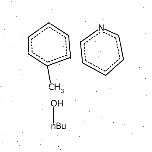 CCCCO.Cc1ccccc1.c1ccncc1